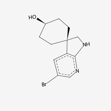 O[C@H]1CC[C@@]2(CC1)CNc1ncc(Br)cc12